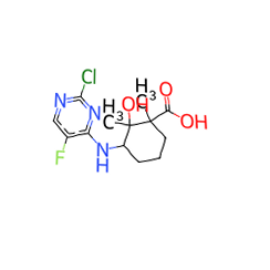 CC1(C(=O)O)CCCC(Nc2nc(Cl)ncc2F)C1(C)O